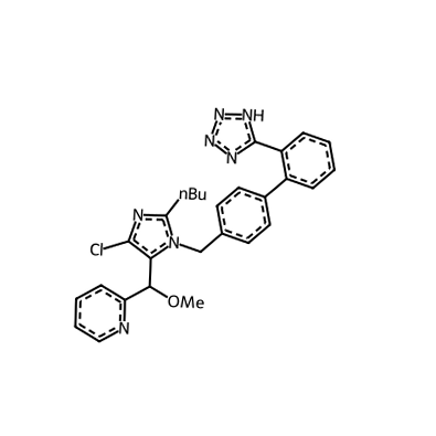 CCCCc1nc(Cl)c(C(OC)c2ccccn2)n1Cc1ccc(-c2ccccc2-c2nnn[nH]2)cc1